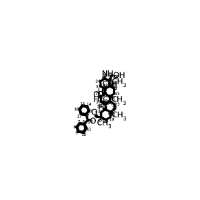 C[C@]1(C(=O)OC(c2ccccc2)c2ccccc2)CC[C@]2(C)CC[C@]3(C)C(=CC(=O)[C@@H]4[C@@]5(C)CC[C@H](N)[C@@](C)(CO)[C@@H]5CC[C@]43C)[C@@H]2C1